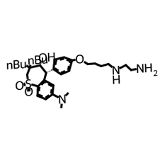 CCCCC1(CCCC)CS(=O)(=O)c2ccc(N(C)C)cc2[C@@H](c2ccc(OCCCCNCCN)cc2)[C@H]1O